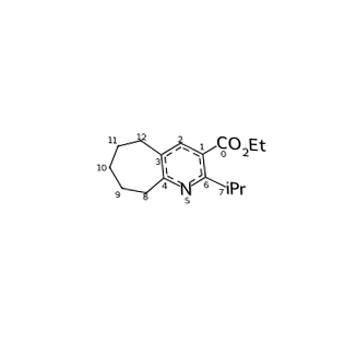 CCOC(=O)c1cc2c(nc1C(C)C)CCCCC2